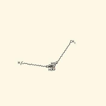 CCCCCCCCCCCCCCCCCCCCCCOCC(O)CNc1cccc(O)c1NCC(O)COCCCCCCCCCCCCCCCCCCCCCC